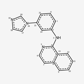 c1cc(Nc2nccc3ccccc23)cc(-n2ccnc2)c1